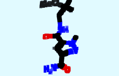 COC(C)(C)CNC(=O)c1[c]c(C(N)=O)nn1C